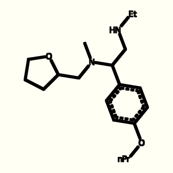 CCCOc1ccc(C(CNCC)N(C)CC2CCCO2)cc1